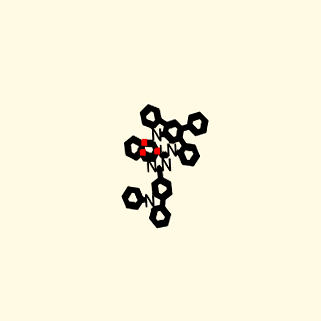 c1ccc(-c2nc(-c3ccc4c5ccccc5n(-c5ccccc5)c4c3)nc(-n3c4ccccc4c4c(-c5ccccc5)cc5c6ccccc6n(-c6ccccc6)c5c43)n2)cc1